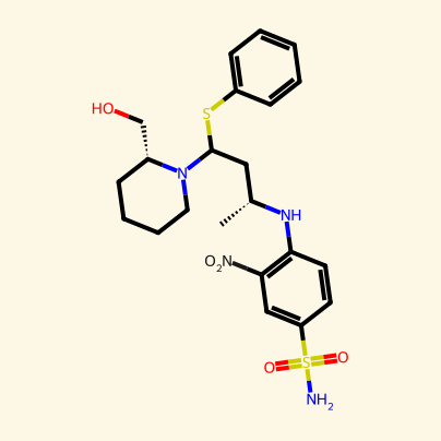 C[C@H](CC(Sc1ccccc1)N1CCCC[C@@H]1CO)Nc1ccc(S(N)(=O)=O)cc1[N+](=O)[O-]